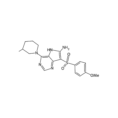 COc1ccc(S(=O)(=O)c2c(N)[nH]c3c(N4CCCC(C)C4)ncnc23)cc1